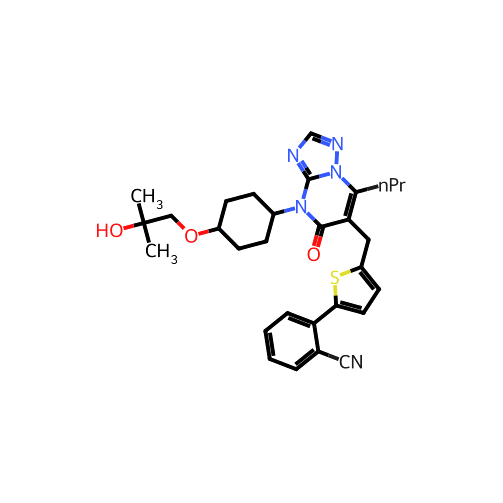 CCCc1c(Cc2ccc(-c3ccccc3C#N)s2)c(=O)n(C2CCC(OCC(C)(C)O)CC2)c2ncnn12